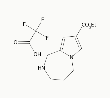 CCOC(=O)c1cc2n(c1)CCCNC2.O=C(O)C(F)(F)F